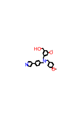 COc1ccc(CN(Cc2ccc(-c3ccncc3)cc2)Cc2cc(CO)cc(OC)c2)cc1